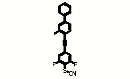 Cc1cc(-c2ccccc2)ccc1C#Cc1cc(F)c(SC#N)c(F)c1